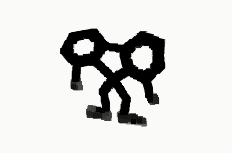 COCC1(COC)c2c(Cl)cccc2-c2cccc(Cl)c21